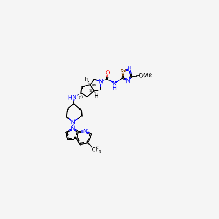 COc1nsc(NC(=O)N2C[C@H]3C[C@H](NC4CCN(n5ccc6cc(C(F)(F)F)cnc65)CC4)C[C@H]3C2)n1